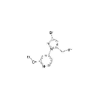 CCOc1cc(-n2nc(Br)cc2CC(C)C)ccn1